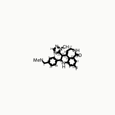 CNCc1ccc(C2Nc3cc(F)cc4c3C(=CCNC4=O)C2c2ncnn2C)cc1